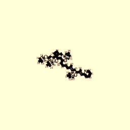 CC[C@@H](C(=O)C1([C@H](CCO[Si](C)(C)C(C)(C)C)O[Si](C)(C)C(C)(C)C)CCC1)[C@@H](O[Si](C)(C)C(C)(C)C)[C@@H](C)CCC/C(C)=C/C[C@H](O[Si](C)(C)C(C)(C)C)/C(C)=C/c1ccccn1